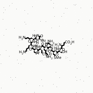 CC[C@H](C)[C@H](NC(=O)[C@H](CCCCN)NC(=O)[C@H](CCCCN)NC(=O)[C@H](CC(C)C)NC(=O)[C@H](CCC(=O)O)NC(=O)[C@H](CCCCN)NC(=O)[C@H](CC(N)=O)NC(=O)[C@H](CCSC)NC(=O)[C@H](CO)NC(=O)[C@@H](N)CCC(=O)O)C(N)=O